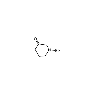 C[CH]N1CCCC(=O)C1